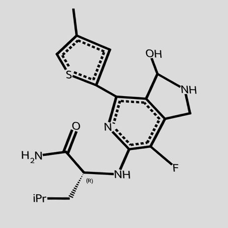 Cc1csc(-c2nc(N[C@H](CC(C)C)C(N)=O)c(F)c3c2C(O)NC3)c1